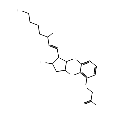 CCCCCC(O)C=CC1C(O)CC2Oc3c(OCC(=O)O)cccc3OC21